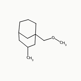 COCC12CCCC(CC(C)C1)C2